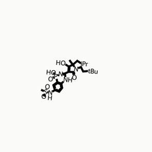 CC(C)CC1(C)C(O)=C(C2=NP(=O)(O)c3cc(NS(C)(=O)=O)ccc3N2)C(=O)N1CCC(C)(C)C